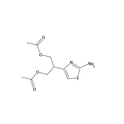 CC(=O)OCC(COC(C)=O)c1csc(N)n1